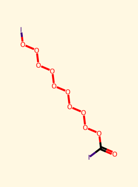 O=C(I)OOOOOOOOOOI